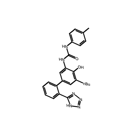 CCCCc1cc(-c2ccccc2-c2nnn[nH]2)cc(NC(=O)Nc2ccc(C)cc2)c1O